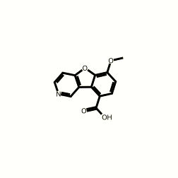 COc1ccc(C(=O)O)c2c1oc1ccncc12